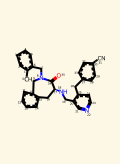 Cc1ccccc1CN1Cc2ccccc2C[C@H](NCc2cnccc2Cc2ccc(C#N)cc2)C1=O